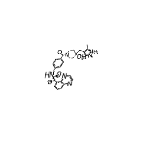 Cc1n[nH]c(C)c1CC1(O)CCN(C(=O)c2ccc(NS(=O)(=O)c3cccc4nccnc34)cc2)CC1